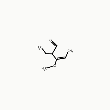 C/C=C(/OC)C(C=O)CC